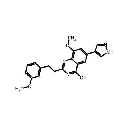 COc1cccc(CCc2nc(O)c3cc(-c4cn[nH]c4)cc(OC)c3n2)c1